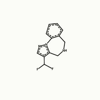 FC(F)c1cnn2c1CNCc1ccccc1-2